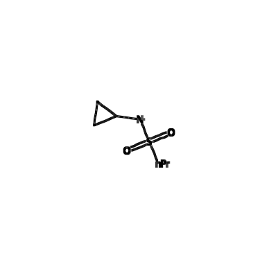 CCCS(=O)(=O)[N]C1CC1